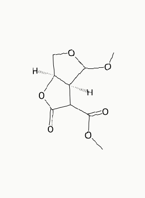 COC(=O)C1C(=O)O[C@H]2COC(OC)[C@@H]12